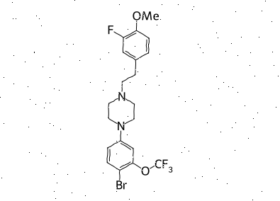 COc1ccc(CCN2CCN(c3ccc(Br)c(OC(F)(F)F)c3)CC2)cc1F